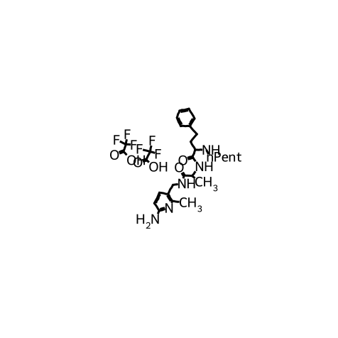 CCCCCNC(CCc1ccccc1)C(=O)NC(C)C(=O)NCc1ccc(N)nc1C.O=C(O)C(F)(F)F.O=C(O)C(F)(F)F